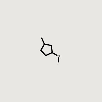 CC1CCC(BF)C1